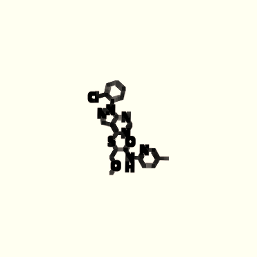 COCC(Sc1ncnc2c1cnn2-c1ccccc1Cl)C(=O)Nc1ccc(C)cn1